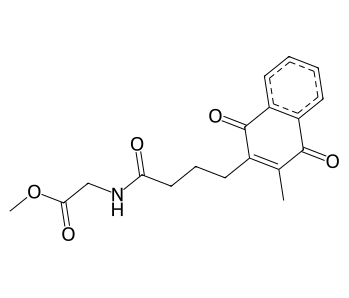 COC(=O)CNC(=O)CCCC1=C(C)C(=O)c2ccccc2C1=O